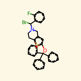 Fc1ccccc1C(Br)N1CCc2sc(OC(c3ccccc3)(c3ccccc3)c3ccccc3)cc2C1